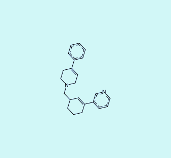 C1=C(c2cccnc2)CCCC1CN1CC=C(c2ccccc2)CC1